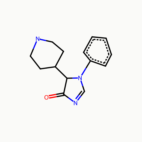 O=C1N=CN(c2ccccc2)C1C1CC[N]CC1